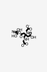 O=C([O-])CNCC(CC(=O)O)(CC(=O)O)NCC(=O)[O-].OCCO.[Na+].[Na+]